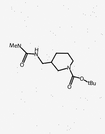 CNC(=O)NCC1CCCN(C(=O)OC(C)(C)C)C1